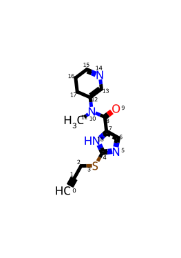 C#CCSc1ncc(C(=O)N(C)C2=CN=CCC2)[nH]1